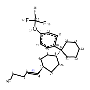 FCC/C=C/[C@H]1CC[C@H](C2(c3ccc(OC(F)(F)F)cc3)CCCCC2)CC1